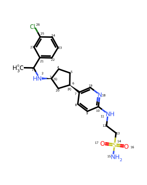 CC(N[C@H]1CC[C@@H](c2ccc(NCCS(N)(=O)=O)nc2)C1)c1cccc(Cl)c1